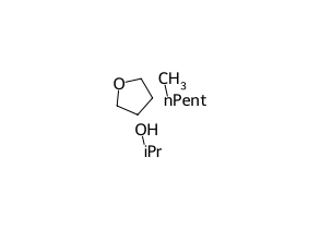 C1CCOC1.CC(C)O.CCCCCC